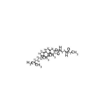 CCC(=O)NCCNC(=O)O[C@H]1CC[C@@]2(C)C(=CCC3C4CCC(CCCCC(C)C)C4(C)CCC32)C1